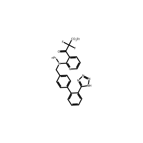 CCCN(Cc1ccc(-c2ccccc2-c2nnn[nH]2)cc1)c1ncccc1C(=O)C(F)(F)C(=O)OCC